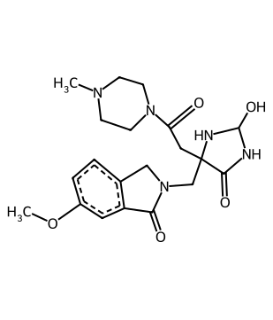 COc1ccc2c(c1)C(=O)N(CC1(CC(=O)N3CCN(C)CC3)NC(O)NC1=O)C2